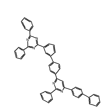 c1ccc(-c2ccc(-c3cc(-c4ccc(-c5cccc(-c6nc(-c7ccccc7)nc(-c7ccccc7)n6)c5)cc4)nc(-c4ccccc4)n3)cc2)cc1